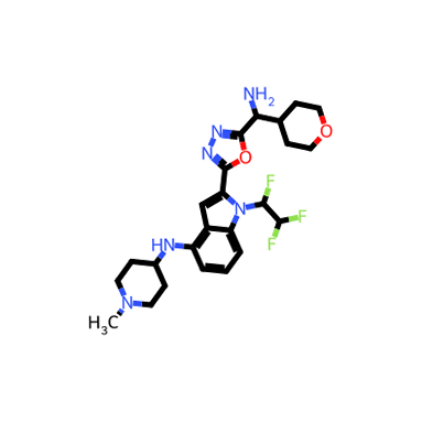 CN1CCC(Nc2cccc3c2cc(-c2nnc(C(N)C4CCOCC4)o2)n3C(F)C(F)F)CC1